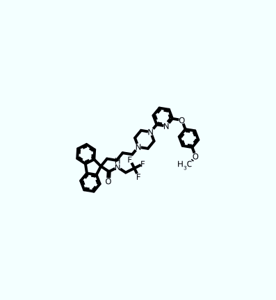 COc1ccc(Oc2cccc(N3CCN(CCCCC4(C(=O)NCC(F)(F)F)c5ccccc5-c5ccccc54)CC3)n2)cc1